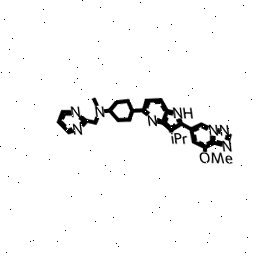 COc1cc(-c2[nH]c3ccc(C4CCC(N(C)Cc5ncccn5)CC4)nc3c2C(C)C)cn2ncnc12